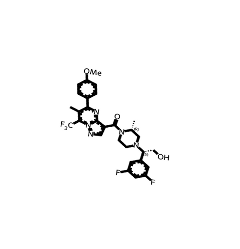 COc1ccc(-c2nc3c(C(=O)N4CCN([C@H](CO)c5cc(F)cc(F)c5)C[C@H]4C)cnn3c(C(F)(F)F)c2C)cc1